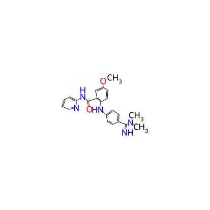 COc1ccc(Nc2ccc(C(=N)N(C)C)cc2)c(C(=O)Nc2ccccn2)c1